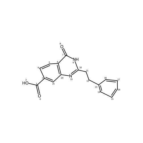 O=C(O)c1ccc2c(=O)[nH]c(CCc3ccccc3)nc2c1